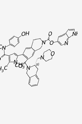 Cc1c(C(=O)N(C)c2ccc(O)cc2)cc(-c2cc3c(cc2C(=O)N2Cc4ccccc4C[C@H]2CN2CCOCC2)CN(C(=O)Oc2cnc4[nH]ccc4c2)CC3)n1C